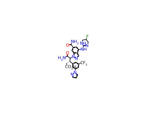 NC(=O)c1cc(NC2=NCC(F)CN2)c2cnn(C(C(N)=O)[C@@H](CC(=O)O)c3cc(-n4cccn4)cc(C(F)(F)F)c3)c2c1